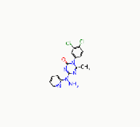 Cc1nc(N(N)c2ccccn2)nc(=O)n1-c1ccc(Cl)c(Cl)c1